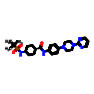 CC(C)(C)S(=O)(=O)N[C@H]1CC[C@H](C(=O)Nc2ccc(N3CCN(c4ncccn4)CC3)cc2)CC1